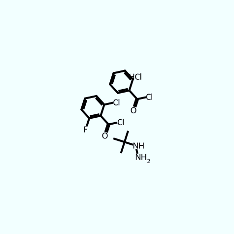 CC(C)(C)NN.Cl.O=C(Cl)c1c(F)cccc1Cl.O=C(Cl)c1ccccc1